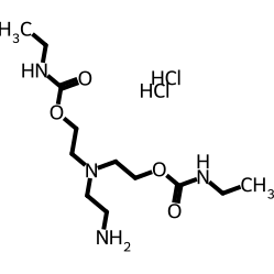 CCNC(=O)OCCN(CCN)CCOC(=O)NCC.Cl.Cl